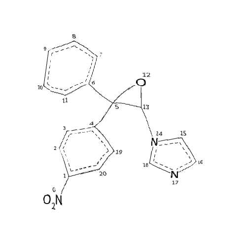 O=[N+]([O-])c1ccc(C2(c3ccccc3)OC2n2ccnc2)cc1